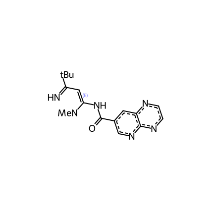 CN/C(=C\C(=N)C(C)(C)C)NC(=O)c1cnc2nccnc2c1